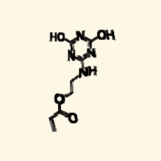 C=CC(=O)OCCNc1nc(O)nc(O)n1